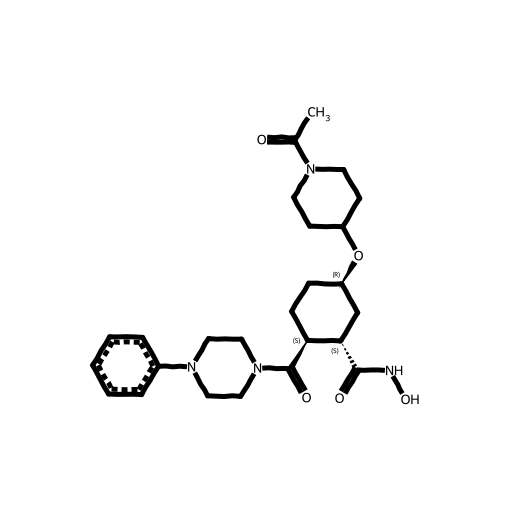 CC(=O)N1CCC(O[C@@H]2CC[C@H](C(=O)N3CCN(c4ccccc4)CC3)[C@@H](C(=O)NO)C2)CC1